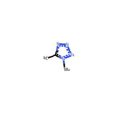 CC(C)(C)n1nnnc1C#N